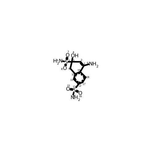 NC1=CC(O)(S(N)(=O)=O)Cc2cc(S(N)(=O)=O)ccc21